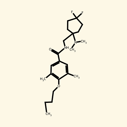 CCCCOc1c(C)cc(C(=O)NCC2(N(C)C)CCC(F)(F)CC2)cc1C